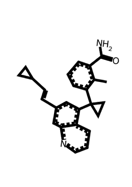 Cc1c(C(N)=O)cccc1C1(c2cc(C=CC3CC3)cc3ncccc23)CC1